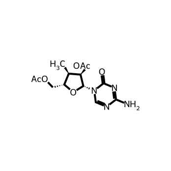 CC(=O)OC[C@H]1O[C@@H](n2cnc(N)nc2=O)[C@H](OC(C)=O)[C@@H]1C